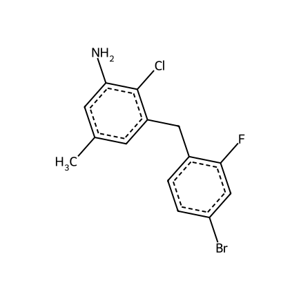 Cc1cc(N)c(Cl)c(Cc2ccc(Br)cc2F)c1